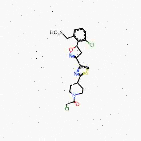 O=C(CCl)N1CCC(c2nc(C3=NOC(c4c(Cl)cccc4CS(=O)(=O)O)C3)cs2)CC1